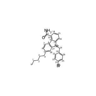 CCCCCc1c[c]c2c3c(C(N)=O)cccc3n(Cc3ccc(Br)cc3)c2c1